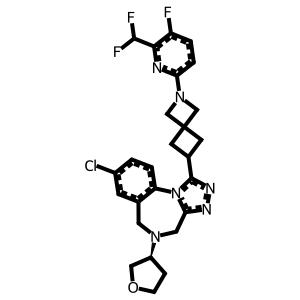 Fc1ccc(N2CC3(CC(c4nnc5n4-c4ccc(Cl)cc4CN([C@H]4CCOC4)C5)C3)C2)nc1C(F)F